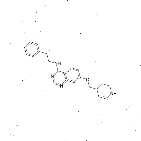 c1ccc(CCNc2ncnc3cc(OCC4CCNCC4)ccc23)cc1